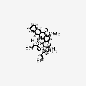 CCC=CC(=O)O[C@H]1c2c(cc(OC)c3c(=O)c4cc5ccccc5cc4n(C)c23)OC(C)(C)[C@H]1OC(=O)C=CCC